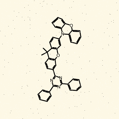 CC1(C)c2ccc(-c3nc(-c4ccccc4)nc(-c4ccccc4)n3)cc2Oc2cc(N3c4ccccc4Oc4ccccc43)ccc21